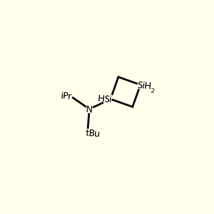 CC(C)N([SiH]1C[SiH2]C1)C(C)(C)C